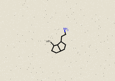 CCCC1CCC2CCC(CCN)C12